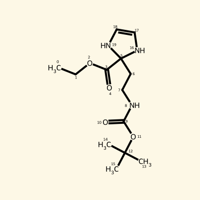 CCOC(=O)C1(CCNC(=O)OC(C)(C)C)NC=CN1